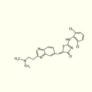 CN(C)CCc1cnc2ccc(/C=C3\SC(Nc4c(Cl)cccc4Cl)=NC3=O)cc2n1